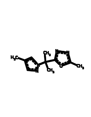 Cc1cnn(C(C)(C)c2nnc(C)o2)c1